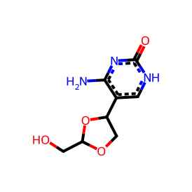 Nc1nc(=O)[nH]cc1C1COC(CO)O1